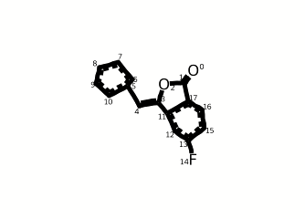 O=C1OC(=Cc2ccccc2)c2cc(F)ccc21